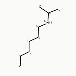 [CH2]CCCCCNC(C)C